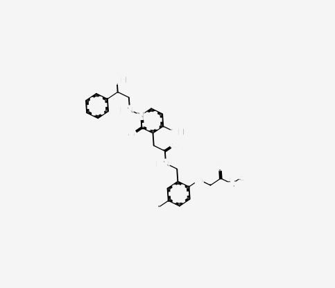 CCNC(=O)COc1ccc(Cl)cc1CNC(=O)Cc1c(C)ccn(NCC(C)c2ccccc2)c1=O